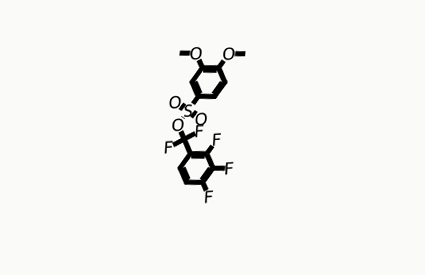 COc1ccc(S(=O)(=O)OC(F)(F)c2ccc(F)c(F)c2F)cc1OC